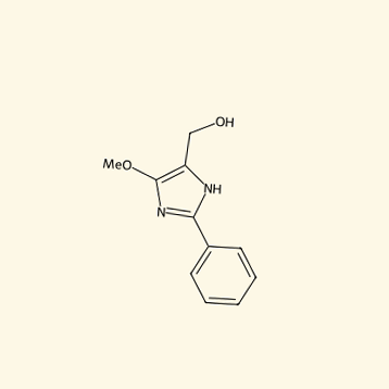 COc1nc(-c2ccccc2)[nH]c1CO